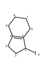 IC1CCC2=C1CCCC2